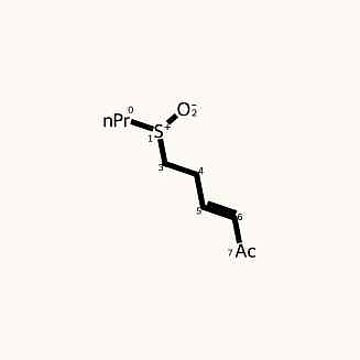 CCC[S+]([O-])CCC=CC(C)=O